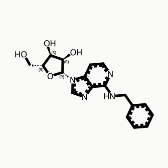 OC[C@H]1O[C@@H](n2cnc3c(NCc4ccccc4)nccc32)[C@H](O)[C@@H]1O